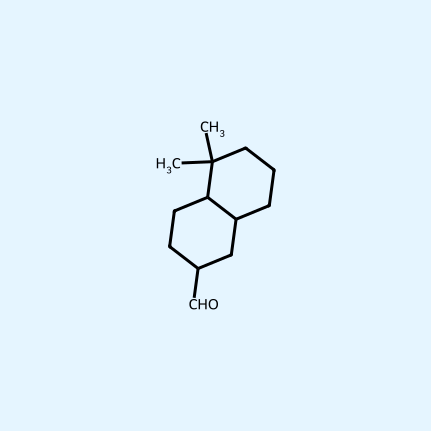 CC1(C)CCCC2CC(C=O)CCC21